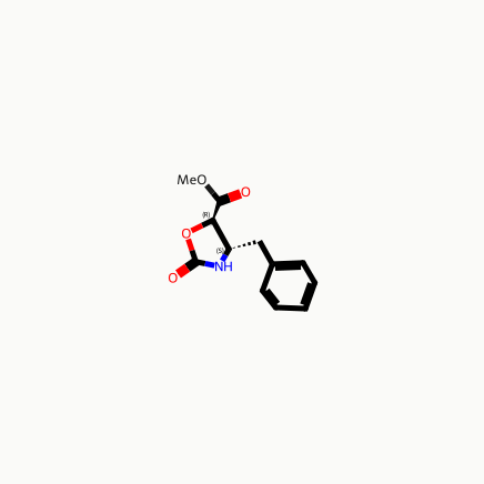 COC(=O)[C@@H]1OC(=O)N[C@H]1Cc1ccccc1